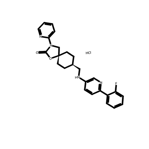 Cl.O=C1O[C@]2(CC[C@H](CNc3ccc(-c4ccccc4F)nc3)CC2)CN1c1ccccn1